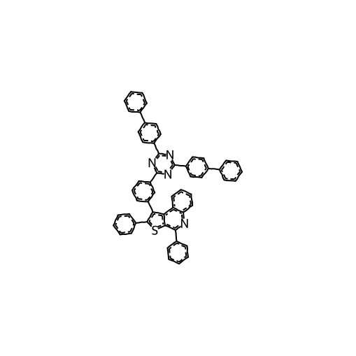 c1ccc(-c2ccc(-c3nc(-c4ccc(-c5ccccc5)cc4)nc(-c4cccc(-c5c(-c6ccccc6)sc6c(-c7ccccc7)nc7ccccc7c56)c4)n3)cc2)cc1